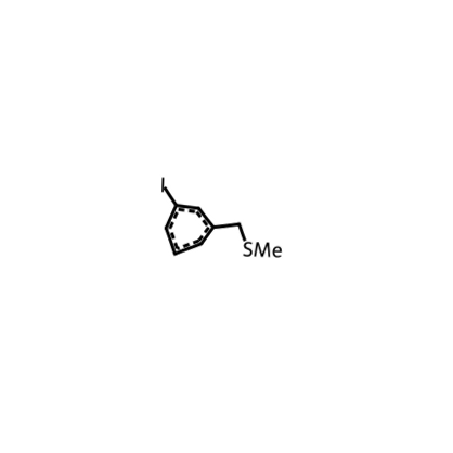 CSCc1cccc(I)c1